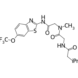 CC(C)CC(=O)NCC(=O)N(C)CC(=O)Nc1nc2ccc(OC(F)(F)F)cc2s1